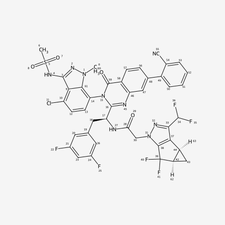 Cn1nc(NS(C)(=O)=O)c2c(Cl)ccc(-n3c([C@H](Cc4cc(F)cc(F)c4)NC(=O)Cn4nc(C(F)F)c5c4C(F)(F)[C@@H]4C[C@H]54)nc4cc(-c5ccccc5C#N)ccc4c3=O)c21